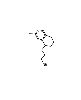 Cc1ccc2c(c1)C(CCCN)CCC2